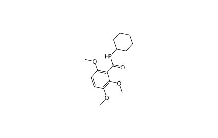 COc1ccc(OC)c(C(=O)PC2CCCCC2)c1OC